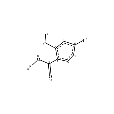 CCc1cc(I)ccc1C(=O)OF